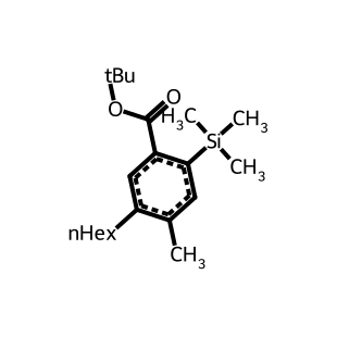 CCCCCCc1cc(C(=O)OC(C)(C)C)c([Si](C)(C)C)cc1C